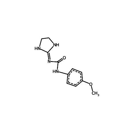 COc1ccc(NC(=O)N=C2NCCN2)cc1